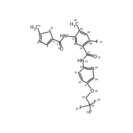 Cc1ncc(C(=O)Nc2cc(C(=O)Nc3ccc(OCC(F)(F)F)cn3)c(F)cc2C)s1